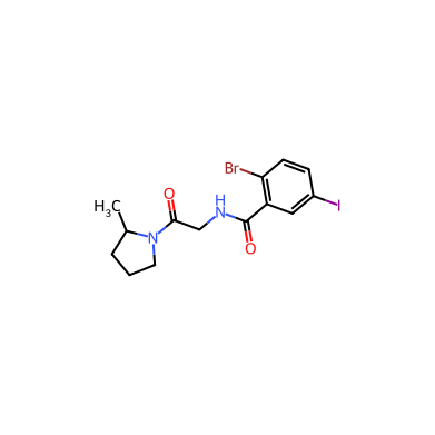 CC1CCCN1C(=O)CNC(=O)c1cc(I)ccc1Br